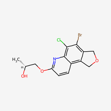 C[C@@H](O)COc1ccc2c3c(c(Br)c(Cl)c2n1)COC3